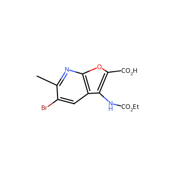 CCOC(=O)Nc1c(C(=O)O)oc2nc(C)c(Br)cc12